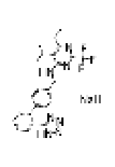 CCc1nc(C(F)(F)F)nc(NCc2ccc(-c3ccccc3-c3nnn[nH]3)cc2)c1C(C)C.[NaH]